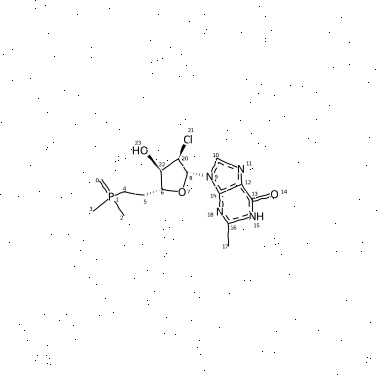 C=P(C)(C)CC[C@H]1O[C@@H](n2cnc3c(=O)[nH]c(C)nc32)[C@H](Cl)[C@@H]1O